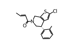 C/C=C/C(=O)N1Cc2sc(Cl)cc2[C@H](c2ccccc2C)C1